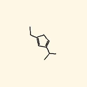 CCC1=CC(C(C)C)=C[CH]1